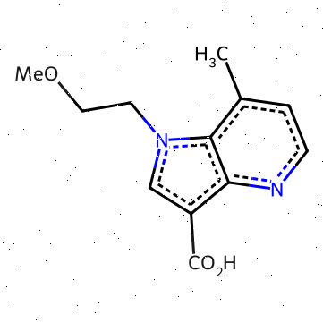 COCCn1cc(C(=O)O)c2nccc(C)c21